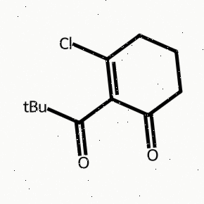 CC(C)(C)C(=O)C1=C(Cl)CCCC1=O